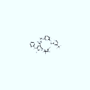 C[C@H]1CC(c2cc(C(C)(C)C)ccn2)Nc2cccc(n2)S(=O)(=O)NC(=O)c2cc(Cc3ccccc3)c(F)nc2N2C[C@@H]1CC2(C)C